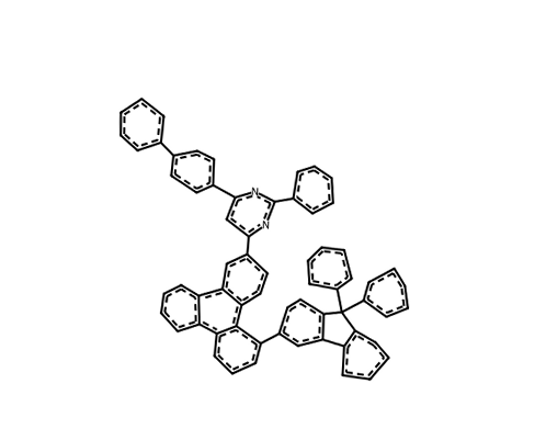 c1ccc(-c2ccc(-c3cc(-c4ccc5c(c4)c4ccccc4c4cccc(-c6ccc7c(c6)-c6ccccc6C7(c6ccccc6)c6ccccc6)c45)nc(-c4ccccc4)n3)cc2)cc1